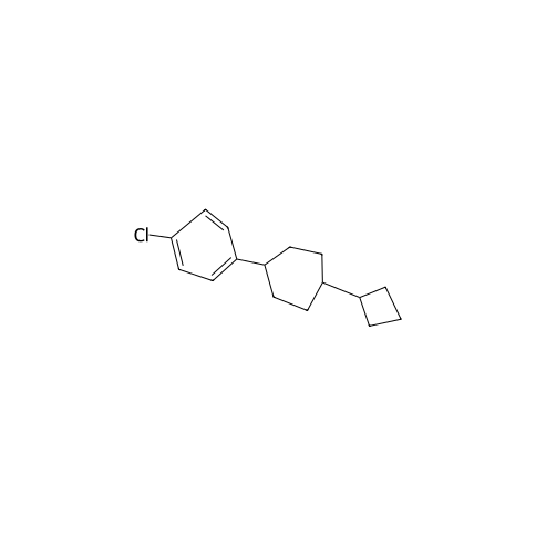 Clc1ccc(C2CCC(C3CCC3)CC2)cc1